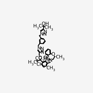 Cc1ccc(C(OCc2cn(Cc3cccc(Cn4cc(C(C)(C)O)nn4)c3)nn2)C(C)(C)C(=O)O)cc1CN1C[C@@H](C)Oc2ccccc2S1(=O)=O